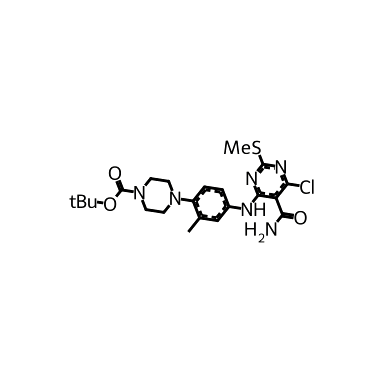 CSc1nc(Cl)c(C(N)=O)c(Nc2ccc(N3CCN(C(=O)OC(C)(C)C)CC3)c(C)c2)n1